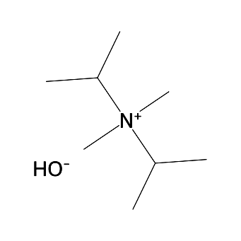 CC(C)[N+](C)(C)C(C)C.[OH-]